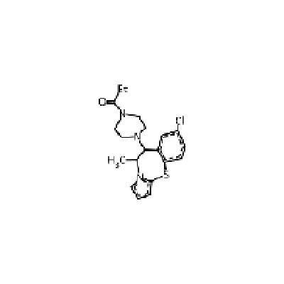 CCC(=O)N1CCN(C2c3cc(Cl)ccc3Sc3cccn3C2C)CC1